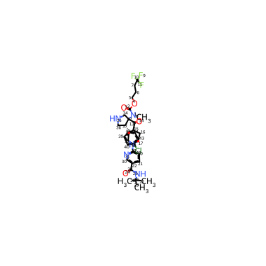 CN(C(=O)OCCCC(F)(F)F)[C@]1(C(=O)C2CCN(c3ccc(C(=O)NC(C)(C)C)cn3)CC2)CNC[C@H]1c1ccc(Cl)cc1